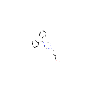 OCC=CCN1CCN(C(c2ccccc2)c2ccccc2)CC1